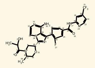 CC(O)C(=O)N1C[C@H](c2nc(-c3ccc(C(=O)Nc4cc(C(F)(F)F)ccn4)cc3F)c3c(N)nccn23)OC[C@H]1C